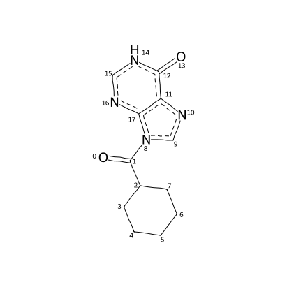 O=C(C1CCCCC1)n1cnc2c(=O)[nH]cnc21